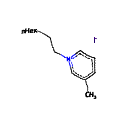 CCCCCCCC[n+]1cccc(C)c1.[I-]